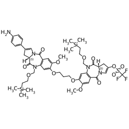 COc1cc2c(cc1OCCCOc1cc3c(cc1OC)C(=O)N1C=C(c4ccc(N)cc4)C[C@H]1C(=O)N3COCC[Si](C)(C)C)N(COCC[Si](C)(C)C)C(=O)[C@@H]1CC(OS(=O)(=O)C(F)(F)F)=CN1C2=O